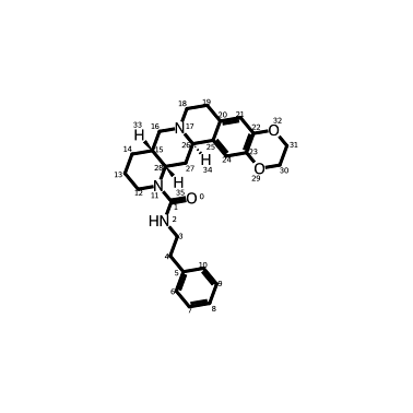 O=C(NCCc1ccccc1)N1CCC[C@@H]2CN3CCc4cc5c(cc4[C@H]3C[C@@H]21)OCCO5